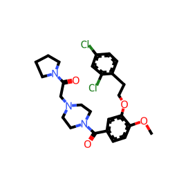 COc1ccc(C(=O)N2CCN(CC(=O)N3CCCC3)CC2)cc1OCCc1ccc(Cl)cc1Cl